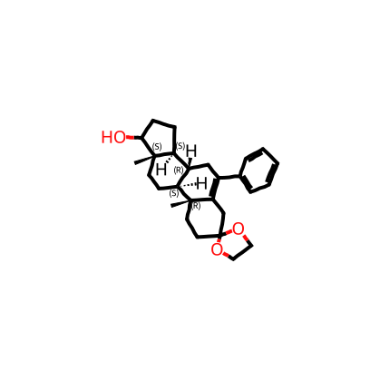 C[C@]12CCC3(CC1=C(c1ccccc1)C[C@@H]1[C@@H]2CC[C@]2(C)C(O)CC[C@@H]12)OCCO3